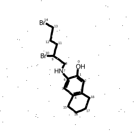 Oc1cc2c(cc1NCC(Br)CCCBr)CCCC2